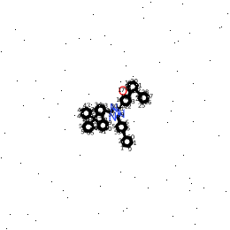 c1ccc(-c2ccc(-c3nc(-c4ccc5c(c4)oc4cccc(-c6ccccc6)c45)nc(-c4cccc5c4-c4ccccc4C5(c4ccccc4)c4ccccc4)n3)cc2)cc1